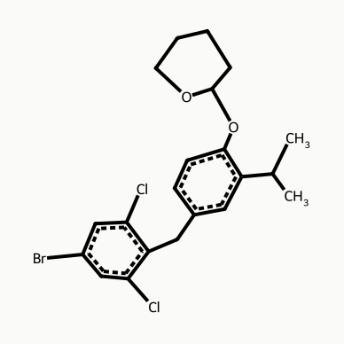 CC(C)c1cc(Cc2c(Cl)cc(Br)cc2Cl)ccc1OC1CCCCO1